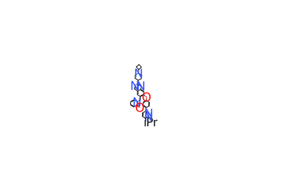 CC(C)c1ccc(-c2ccc(Oc3cc4nc(C5CCN(C6CCC6)CC5)ncc4cc3Cn3ccccc3=O)cc2)nn1